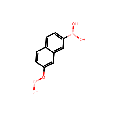 OBOc1ccc2ccc(B(O)O)cc2c1